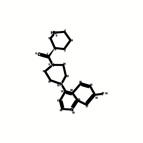 O=C([C@H]1CCCNC1)N1CCN(c2ccnc3cc(F)ccc23)CC1